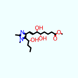 CCC[C@@H](O)c1c(/C=C/[C@@H](O)[C@@H](O)CCCC(=O)OC)nc(C)n1C